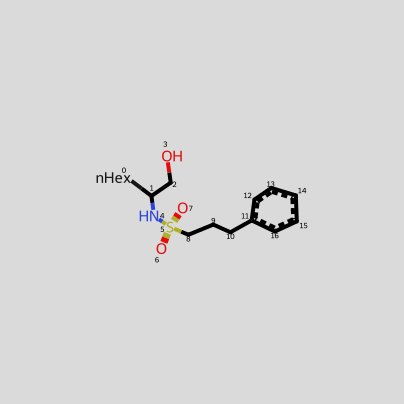 CCCCCCC(CO)NS(=O)(=O)CCCc1ccccc1